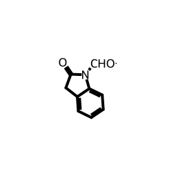 O=[C]N1C(=O)Cc2ccccc21